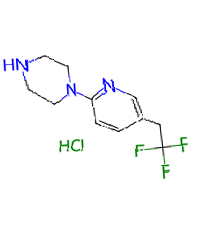 Cl.FC(F)(F)Cc1ccc(N2CCNCC2)nc1